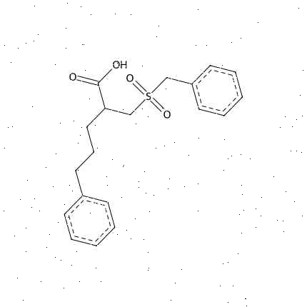 O=C(O)C(CCCc1ccccc1)CS(=O)(=O)Cc1ccccc1